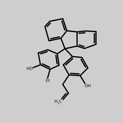 C=CCc1cc(C2(c3ccc(O)c(CC)c3)c3ccccc3-c3ccccc32)ccc1O